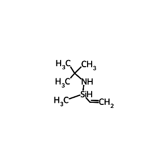 C=C[SiH](C)NC(C)(C)C